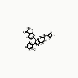 NC(=O)C1CCC(n2c(-c3c(F)cccc3Cl)nc3cnc(NC4CCC4)nc32)CC1